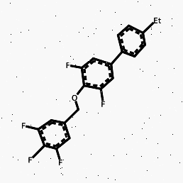 CCc1ccc(-c2cc(F)c(OCc3cc(F)c(F)c(F)c3)c(F)c2)cc1